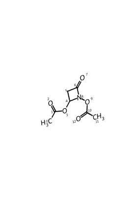 CC(=O)OC1CC(=O)N1OC(C)=O